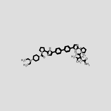 CCN(CC)[C@H]1CC[C@@H](C(=O)N2CCCC2c2ncc(-c3ccc(-c4ccc(-c5cnc([C@H]6CCCN6C(=O)[C@@](C)(OC(N)=O)C(C)C)[nH]5)cc4)cc3)[nH]2)CC1